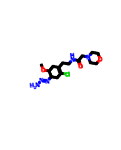 COC1CC(CCNC(=O)CN2CCOCC2)=C(Cl)CC1N=NN